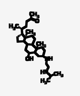 CC(=O)CC[C@@H](C)[C@H]1CCC2C3C[C@H](O)C4C[C@H](NCCNC(C)C)CC[C@]4(C)C3CC[C@@]21C